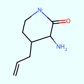 C=CCC1CC[N]C(=O)C1N